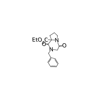 CCOC(=O)C12CCCN1C(=O)CN(Cc1ccccc1)C2=O